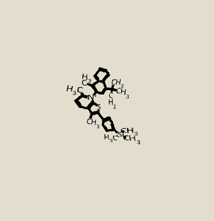 Cc1c(-[n+]2c(C)ccc3c(C)c(-c4ccc([Si](C)(C)C)cc4)sc32)cc(C(C)(C)C)c2ccccc12